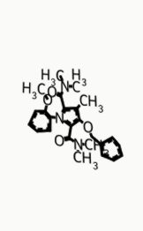 COc1ccccc1-n1c(C(=O)N(C)C)c(C)c(OCc2ccccc2)c1C(=O)N(C)C